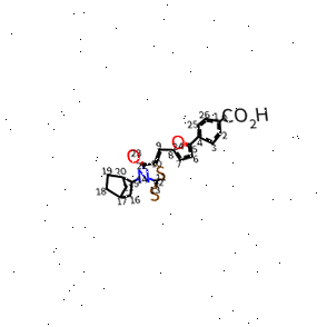 O=C(O)c1ccc(-c2ccc(/C=C3\SC(=S)N(C4CC5CCC4C5)C3=O)o2)cc1